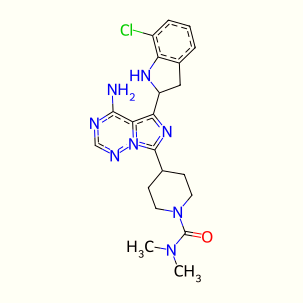 CN(C)C(=O)N1CCC(c2nc(C3Cc4cccc(Cl)c4N3)c3c(N)ncnn23)CC1